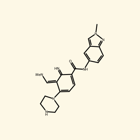 CN/C=C1\C(=N)C(C(=O)Nc2ccc3nn(C)cc3c2)=CC=C1N1CCNCC1